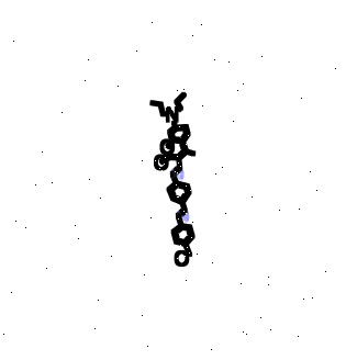 CCCN(CCC)c1ccc2c(C)c(/C=C/c3ccc(/C=C/c4ccc(C=O)cc4)cc3)c(=O)oc2c1